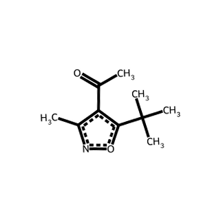 CC(=O)c1c(C)noc1C(C)(C)C